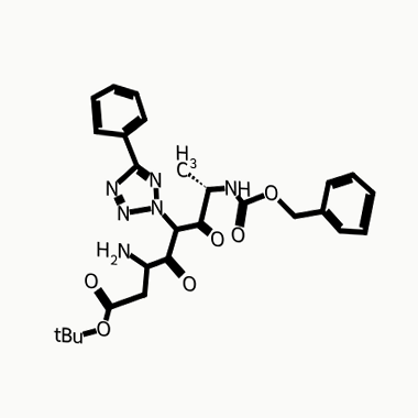 C[C@H](NC(=O)OCc1ccccc1)C(=O)C(C(=O)C(N)CC(=O)OC(C)(C)C)n1nnc(-c2ccccc2)n1